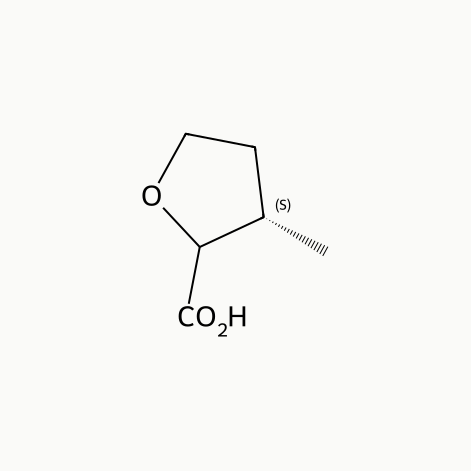 C[C@H]1CCOC1C(=O)O